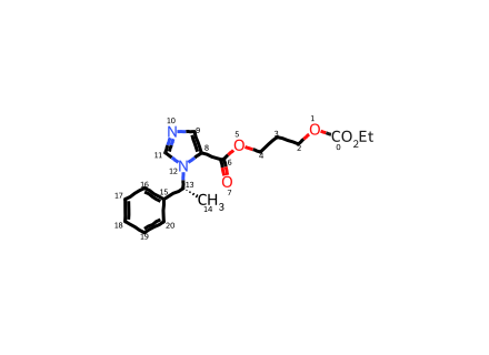 CCOC(=O)OCCCOC(=O)c1cncn1[C@H](C)c1ccccc1